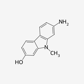 Cn1c2cc(N)ccc2c2ccc(O)cc21